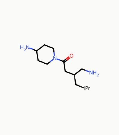 CC(C)C[C@H](CN)CC(=O)N1CCC(N)CC1